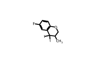 CC1COc2ccc(F)cc2C1(I)I